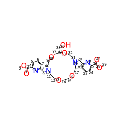 COC(=O)c1cccc(CN2CCOCCOCCN(Cc3cccc(C(=O)OC)n3)CCO[C@@H](CO)COCC2)n1